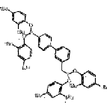 CC(C)(C)c1ccc(OP(Cc2cccc(-c3ccc(P(Oc4ccc(C(C)(C)C)cc4C(C)(C)C)Oc4ccc(C(C)(C)C)cc4C(C)(C)C)cc3)c2)Oc2ccc(C(C)(C)C)cc2C(C)(C)C)c(C(C)(C)C)c1